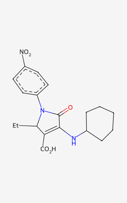 CCC1C(C(=O)O)=C(NC2CCCCC2)C(=O)N1c1ccc([N+](=O)[O-])cc1